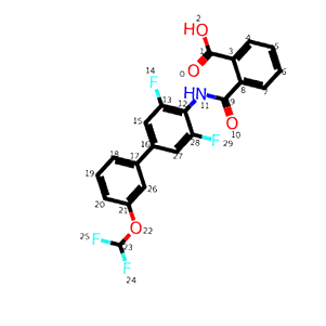 O=C(O)c1ccccc1C(=O)Nc1c(F)cc(-c2cccc(OC(F)F)c2)cc1F